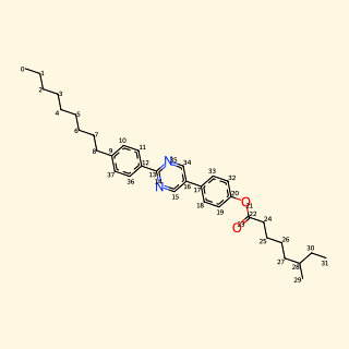 CCCCCCCCCc1ccc(-c2ncc(-c3ccc(OC(=O)CCCCC(C)CC)cc3)cn2)cc1